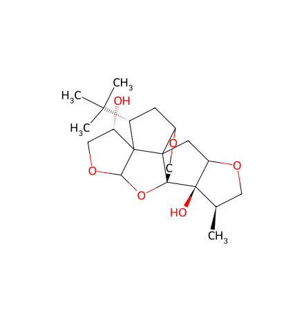 C[C@@H]1COC2CC34C5C[C@@H](C(C)(C)C)C36C(OC[C@@H]6O)O[C@@]4(CO5)[C@]21O